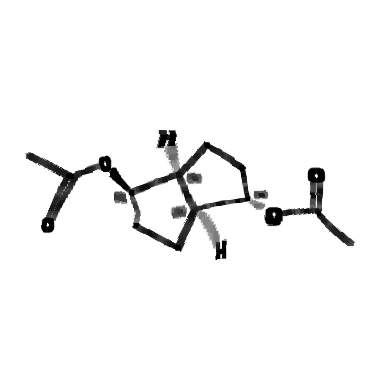 CC(=O)O[C@H]1CC[C@H]2[C@@H]1CC[C@H]2OC(C)=O